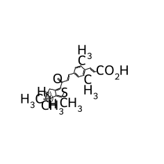 Cc1cc(C=CC(=O)c2sc(C)c3c2C[C@@H]2[C@H]3C2(C)C)cc(C)c1C=CC(=O)O